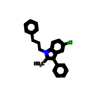 O=C(O)c1c(-c2ccccc2)c2cc(Cl)ccc2n1CCCc1ccccc1